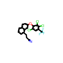 N#CCCc1cccc2ccc(Oc3c(Cl)cc(C(F)(F)F)c(Cl)c3Cl)cc12